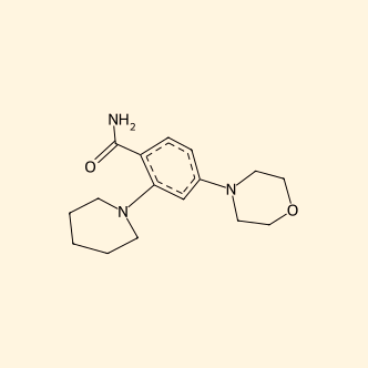 NC(=O)c1ccc(N2CCOCC2)cc1N1CCCCC1